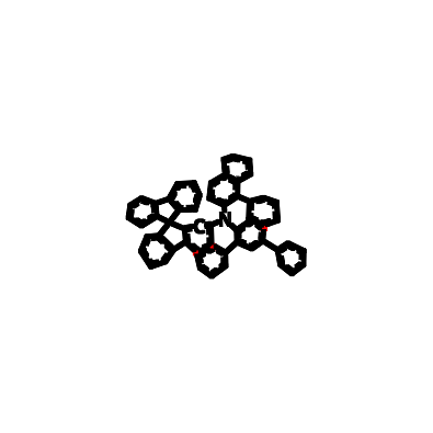 c1ccc(-c2ccc(N(c3ccc4c(c3)C3(c5ccccc5-c5ccccc53)c3ccccc3-4)c3ccc4ccccc4c3-c3ccccc3)c(-c3ccccc3)c2)cc1